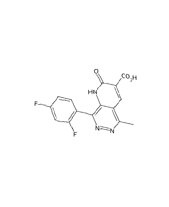 Cc1nnc(-c2ccc(F)cc2F)c2[nH]c(=O)c(C(=O)O)cc12